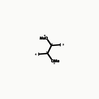 COC(I)C(I)OC